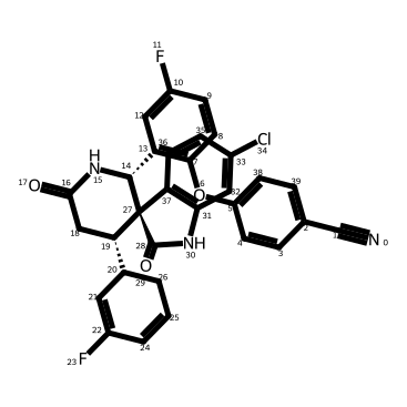 N#Cc1ccc(Oc2ccc(F)cc2[C@H]2NC(=O)C[C@@H](C3C=C(F)C=CC3)[C@]23C(=O)Nc2cc(Cl)ccc23)cc1